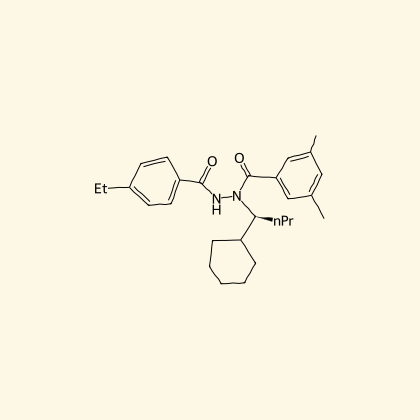 CCC[C@@H](C1CCCCC1)N(NC(=O)c1ccc(CC)cc1)C(=O)c1cc(C)cc(C)c1